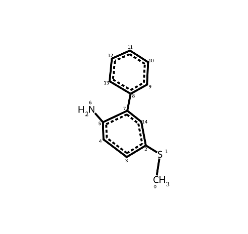 CSc1ccc(N)c(-c2ccccc2)c1